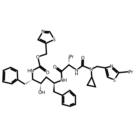 CC(C)c1nc(CN(C(=O)N[C@H](C(=O)N[C@@H](Cc2ccccc2)C[C@H](O)[C@H](Cc2ccccc2)NC(=O)OCc2cncs2)C(C)C)C2CC2)cs1